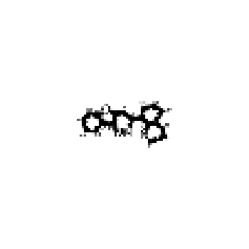 c1cnc2c(-c3cc4oc5ccccc5c4nn3)cccc2c1